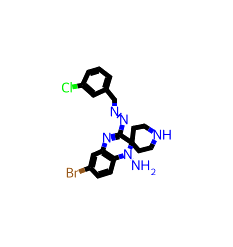 NN1c2ccc(Br)cc2N=C(N=NCc2cccc(Cl)c2)C12CCNCC2